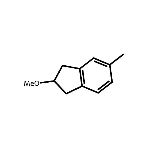 COC1Cc2ccc(C)cc2C1